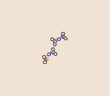 c1ccc2c(c1)oc1c(-c3ccc(-n4c5ccccc5c5cc(-c6ccc7c(c6)c6ccccc6n7-c6ccc(-n7c8ccccc8c8ccccc87)cc6)ccc54)cc3)cccc12